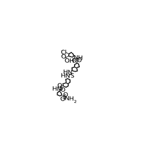 NS(=O)(=O)c1cccc(NS(=O)(=O)c2ccc3ccc(NC(=S)Nc4ccc5ccc(S(=O)(=O)Nc6ccc(Cl)c(C(=O)O)c6)cc5c4)cc3c2)c1